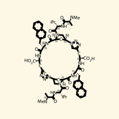 CN[C@@H](C)C(=O)N[C@H](C(=O)N1CC2C[C@H]1C(=O)N[C@@H](Cc1ccc3ccccc3c1)C(=O)N[C@H](C(=O)O)Cc1cn(nn1)[C@H]1C[C@@H](C(=O)N[C@@H](Cc3ccc4ccccc4c3)C(=O)N[C@H](C(=O)O)Cc3cn2nn3)N(C(=O)[C@@H](NC(=O)[C@H](C)NC)C(C)C)C1)C(C)C